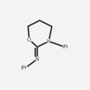 CC(C)N=C1OCCCN1C(C)C